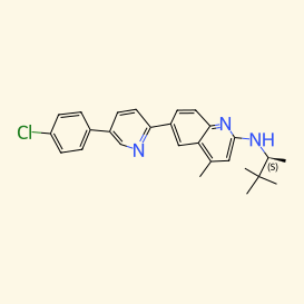 Cc1cc(N[C@@H](C)C(C)(C)C)nc2ccc(-c3ccc(-c4ccc(Cl)cc4)cn3)cc12